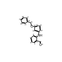 O=Cc1ccccc1Nc1cccc(OCc2ccccc2)c1